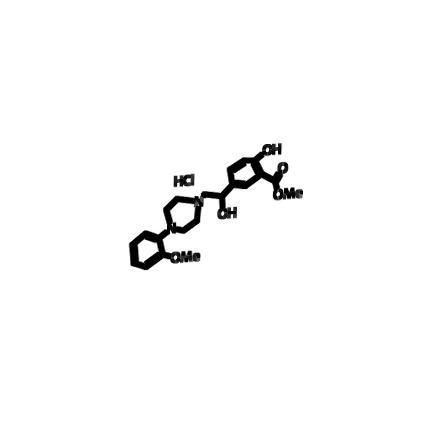 COC(=O)c1cc(C(O)CN2CCN(c3ccccc3OC)CC2)ccc1O.Cl